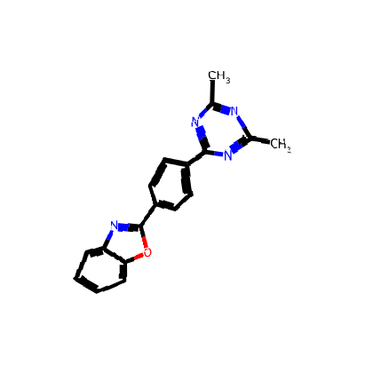 Cc1nc(C)nc(-c2ccc(-c3nc4ccccc4o3)cc2)n1